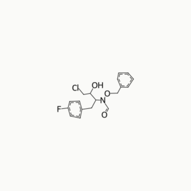 O=CN(OCc1ccccc1)C(Cc1ccc(F)cc1)C(O)CCl